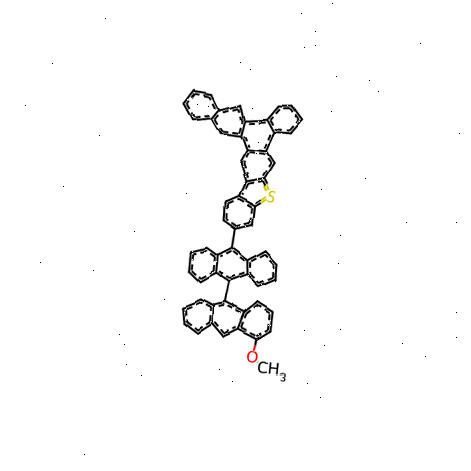 COc1cccc2c(-c3c4ccccc4c(-c4ccc5c(c4)sc4cc6c7ccccc7c7cc8ccccc8cc7c6cc45)c4ccccc34)c3ccccc3cc12